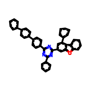 c1ccc(-c2ccc(-c3ccc(-c4nc(-c5ccccc5)nc(-c5cc(-c6ccccc6)c6c(c5)oc5ccccc56)n4)cc3)cc2)cc1